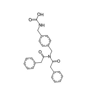 O=C(O)NCc1ccc(CN(C(=O)Cc2ccccc2)C(=O)Cc2ccccc2)cc1